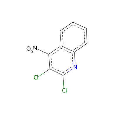 O=[N+]([O-])c1c(Cl)c(Cl)nc2ccccc12